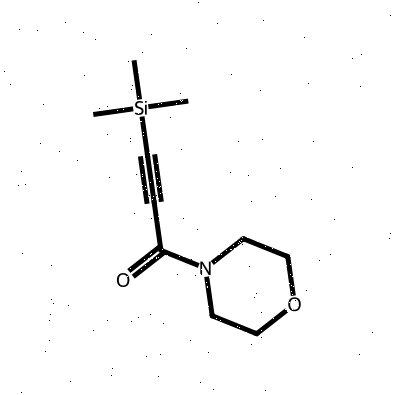 C[Si](C)(C)C#CC(=O)N1CCOCC1